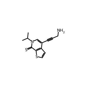 CC(C)n1cc(C#CCN)c2ccsc2c1=S